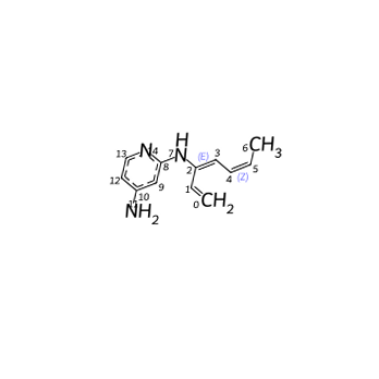 C=C/C(=C\C=C/C)Nc1cc(N)ccn1